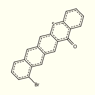 O=c1c2ccccc2sc2cc3cc4cccc(Br)c4cc3cc12